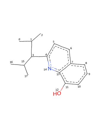 CC(C)C(c1ccc2cccc(O)c2n1)C(C)C